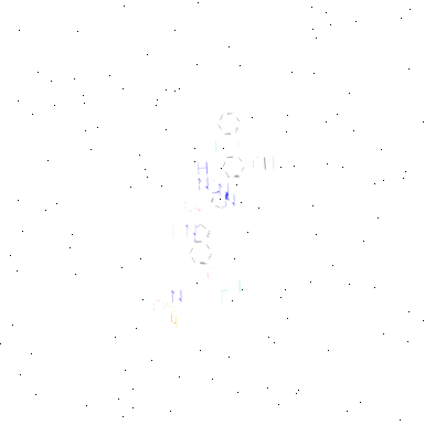 Cc1cc(-n2ncc(C(=O)c3cc4cc(OCC(F)F)c(C5CCN([SH](=O)=O)CC5)cc4[nH]3)c2N)ccc1Oc1ccccc1F